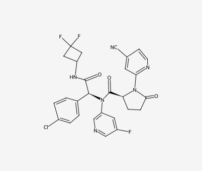 N#Cc1ccnc(N2C(=O)CC[C@H]2C(=O)N(c2cncc(F)c2)[C@H](C(=O)NC2CC(F)(F)C2)c2ccc(Cl)cc2)c1